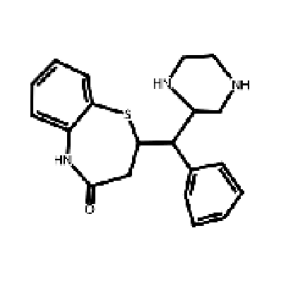 O=C1CC(C(c2ccccc2)C2CNCCN2)Sc2ccccc2N1